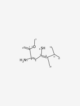 C=C(OC)/C(N)=C\C(S)=C(/C)C(C)C